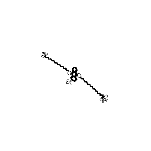 CCc1ccc2c(OCCCCCCCCCCCCCCCCC(=O)OC(C)C)c3ccccc3c(OCCCCCCCCCCCCCCCCC(=O)OC(C)C)c2c1